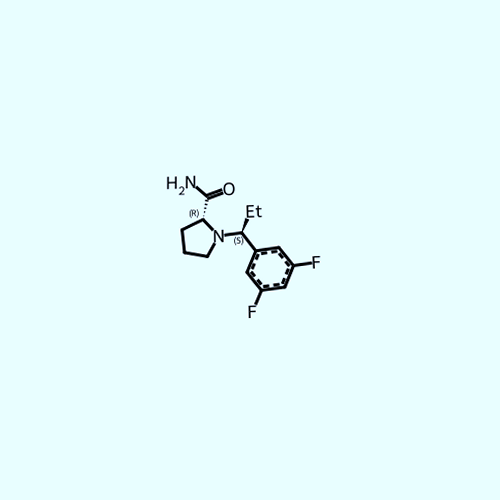 CC[C@@H](c1cc(F)cc(F)c1)N1CCC[C@@H]1C(N)=O